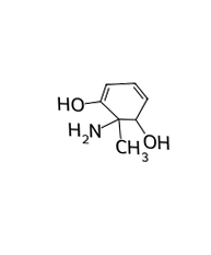 CC1(N)C(O)=CC=CC1O